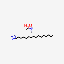 CCCCCCCCCCCCCCCC[N+](C)(C)C.CCN(C)C.O